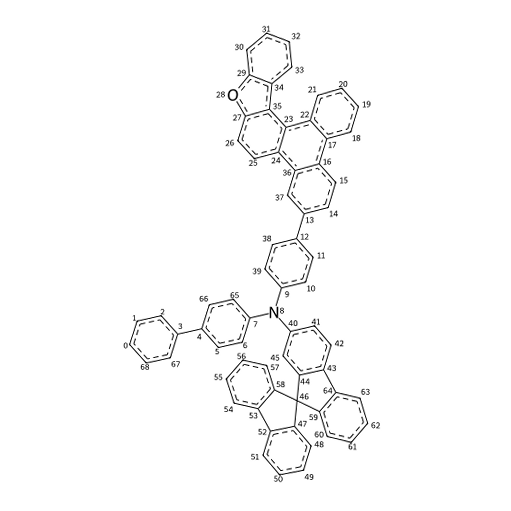 c1ccc(-c2ccc(N(c3ccc(-c4ccc5c6ccccc6c6c(ccc7oc8ccccc8c76)c5c4)cc3)c3ccc4c(c3)C3(c5ccccc5-c5ccccc53)c3ccccc3-4)cc2)cc1